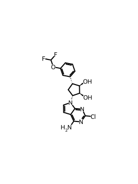 Nc1nc(Cl)nc2c1ccn2[C@@H]1C[C@H](c2cccc(OC(F)F)c2)[C@@H](O)[C@H]1O